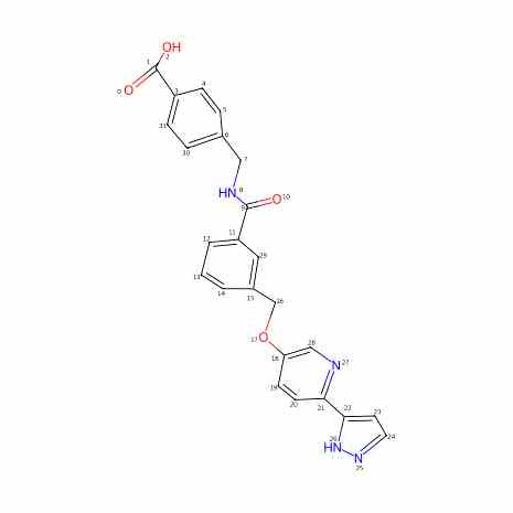 O=C(O)c1ccc(CNC(=O)c2cccc(COc3ccc(-c4ccn[nH]4)nc3)c2)cc1